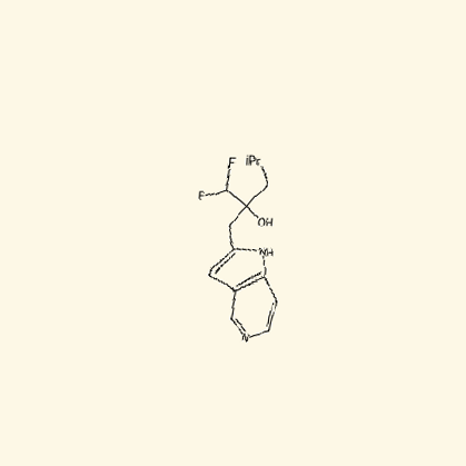 CC(C)CC(O)(Cc1cc2cnccc2[nH]1)C(F)F